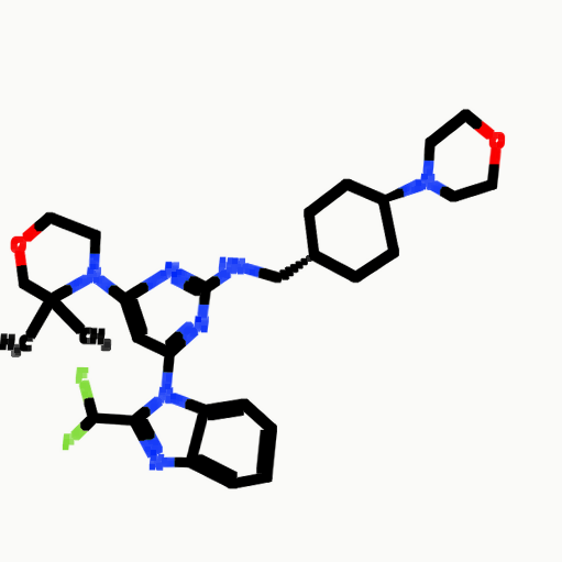 CC1(C)COCCN1c1cc(-n2c(C(F)F)nc3ccccc32)nc(NC[C@H]2CC[C@H](N3CCOCC3)CC2)n1